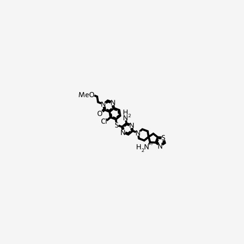 COCCn1cnc2ccc(Sc3ncc(N4CCC5(CC4)Cc4scnc4[C@H]5N)nc3N)c(Cl)c2c1=O